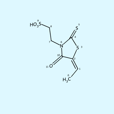 C/C=C1/SC(=S)N(CCS(=O)(=O)O)C1=O